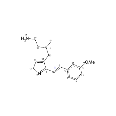 COc1cccc(/C=C/C2=NCC=C2CN(C)CCN)c1